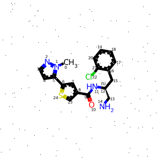 Cn1nccc1-c1cc(C(=O)N[C@H](CN)Cc2ccccc2Cl)cs1